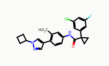 O=C(O)c1cc(NC(=O)C2(c3cc(F)cc(Cl)c3)CC2)ccc1-c1cnn(C2CCC2)c1